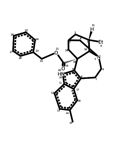 CC[C@H]1CC2CN3CCc4c([nH]c5ccc(C)cc45)[C@@](C(=O)OCc4ccccc4)(C2)C13